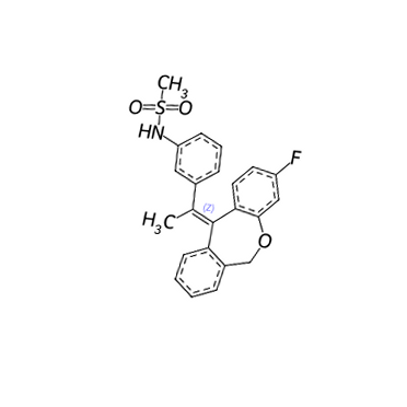 C/C(=C1\c2ccccc2COc2cc(F)ccc21)c1cccc(NS(C)(=O)=O)c1